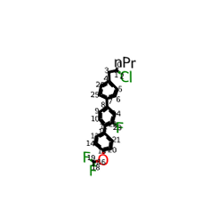 CCCC(Cl)Cc1ccc(-c2ccc(-c3ccc(OC(F)F)cc3)c(F)c2)cc1